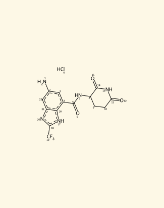 Cl.Nc1cc(C(=O)NC2CCC(=O)NC2=O)c2[nH]c(C(F)(F)F)nc2c1